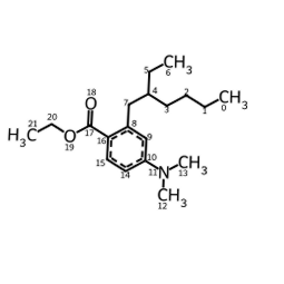 CCCCC(CC)Cc1cc(N(C)C)ccc1C(=O)OCC